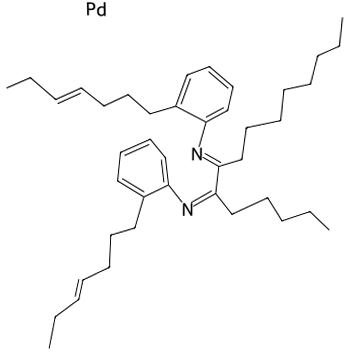 CCC=CCCCc1ccccc1N=C(CCCCC)C(CCCCCCCC)=Nc1ccccc1CCCC=CCC.[Pd]